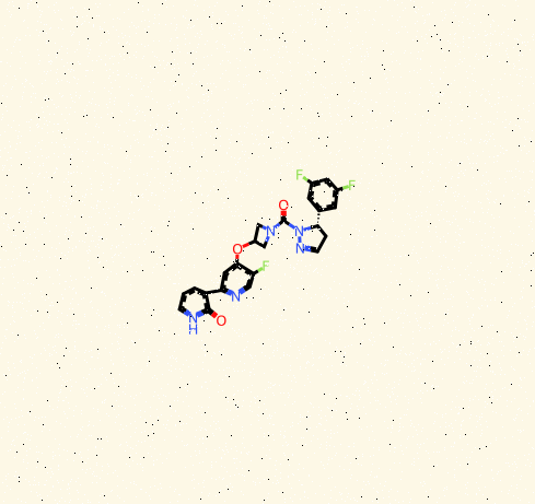 O=C(N1CC(Oc2cc(-c3ccc[nH]c3=O)ncc2F)C1)N1N=CC[C@H]1c1cc(F)cc(F)c1